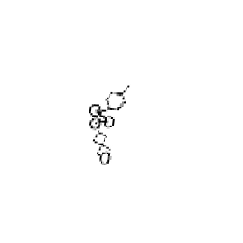 Cc1ccc(S(=O)(=O)OC2CC3(COC3)C2)cc1